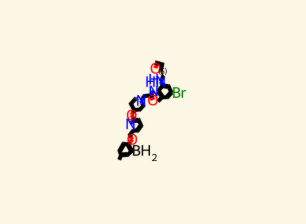 Bc1cc(C)ccc1OCc1cccc(OC2CCN(CC(=O)Nc3c(C)cc(Br)cc3NC[C@@H]3CCO3)CC2)n1